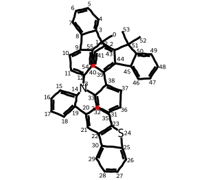 CC1(C)c2ccccc2-c2ccc(N(c3ccccc3C3=Cc4c(sc5ccccc45)CC3)c3ccccc3-c3cccc4c3-c3ccccc3C4(C)C)cc21